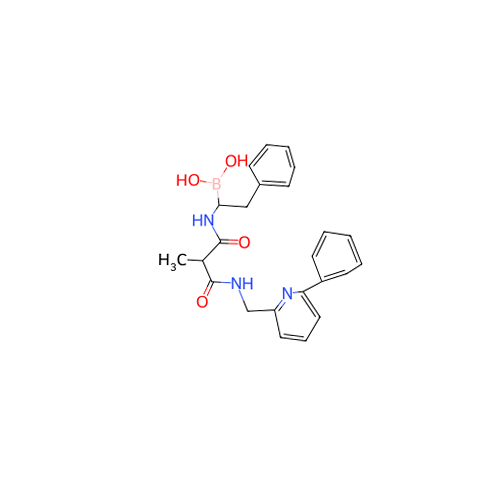 CC(C(=O)NCc1cccc(-c2ccccc2)n1)C(=O)NC(Cc1ccccc1)B(O)O